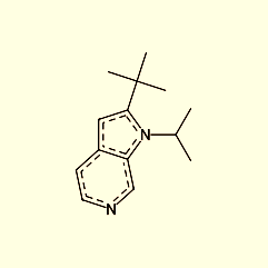 CC(C)n1c(C(C)(C)C)cc2ccncc21